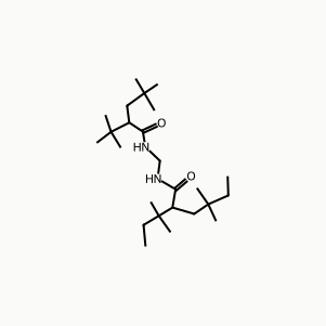 CCC(C)(C)CC(C(=O)NCNC(=O)C(CC(C)(C)C)C(C)(C)C)C(C)(C)CC